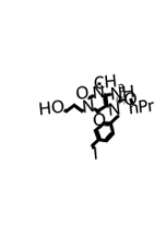 CCCO[C@@H]1Nc2c(c(=O)n(CCCO)c(=O)n2C)N1Cc1ccc(CI)cc1